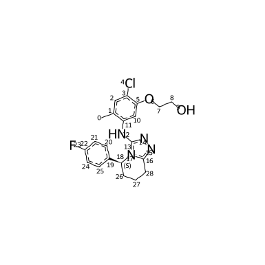 Cc1cc(Cl)c(OCCO)cc1Nc1nnc2n1[C@H](c1ccc(F)cc1)CCC2